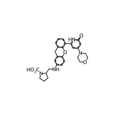 O=C(O)N1CCCC1CNc1ccc2c(c1)Cc1cccc(-c3cc(N4CCOCC4)cc(=O)[nH]3)c1O2